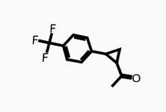 CC(=O)C1CC1c1ccc(C(F)(F)F)cc1